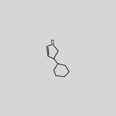 C1=CC(C2CCCCC2)CN1